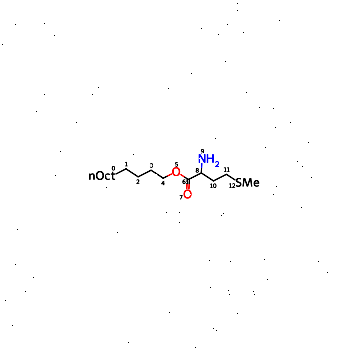 CCCCCCCCCCCCOC(=O)C(N)CCSC